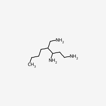 CCCCC(CN)C(N)CCN